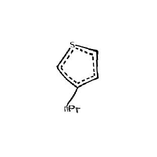 C[CH]Cc1ccsc1